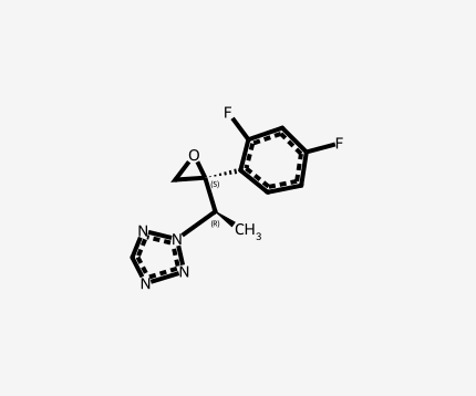 C[C@@H](n1ncnn1)[C@@]1(c2ccc(F)cc2F)CO1